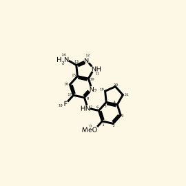 COc1ccc2c(c1Nc1nc3[nH]nc(N)c3cc1F)CCC2